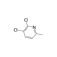 Cc1ccc(Cl)c(Cl)n1